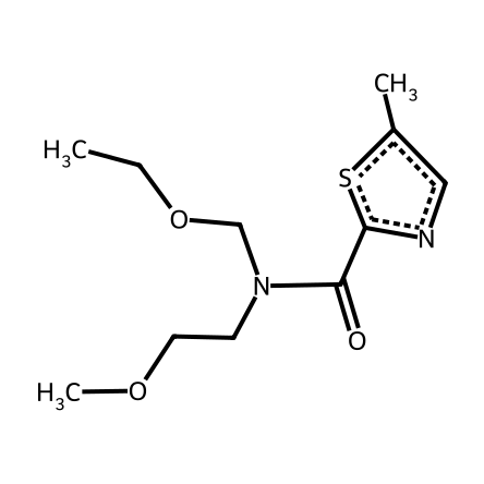 CCOCN(CCOC)C(=O)c1ncc(C)s1